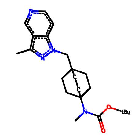 Cc1nn(CC23CCC(N(C)C(=O)OC(C)(C)C)(CC2)CC3)c2ccncc12